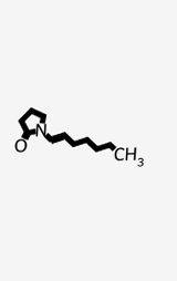 CCCCC/C=C/N1CCCC1=O